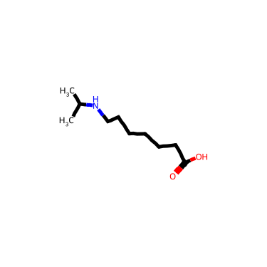 CC(C)NCCCCCCC(=O)O